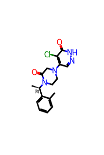 Cc1ccccc1[C@@H](C)N1CCN(c2cn[nH]c(=O)c2Cl)CC1=O